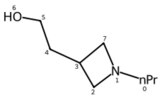 CCCN1CC(CCO)C1